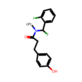 CCCN(C(=O)CCc1ccc(O)cc1)C(F)c1ccccc1F